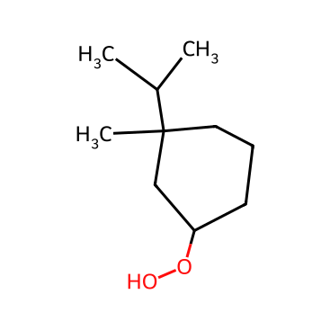 CC(C)C1(C)CCCC(OO)C1